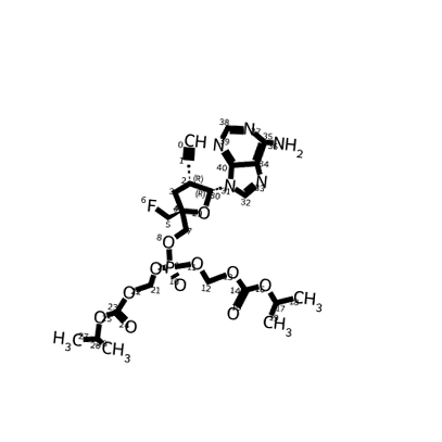 C#C[C@H]1C[C@@](CF)(COP(=O)(OCOC(=O)OC(C)C)OCOC(=O)OC(C)C)O[C@H]1n1cnc2c(N)ncnc21